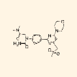 CN(C)C(=O)CN(C(N)=O)c1ccc(-c2nc(CS(C)(=O)=O)cc(N3CCOCC3)n2)cc1